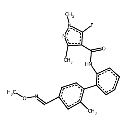 CO/N=C/c1ccc(-c2ccccc2NC(=O)c2c(C)nn(C)c2F)c(C)c1